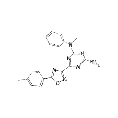 Cc1ccc(-c2nc(-c3nc(N)nc(N(C)c4ccccc4)n3)no2)cc1